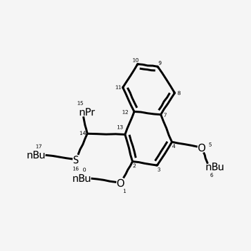 CCCCOc1cc(OCCCC)c2ccccc2c1C(CCC)SCCCC